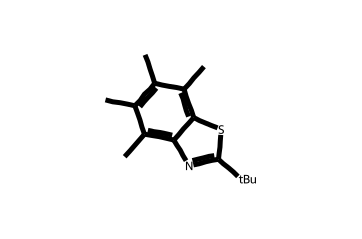 Cc1c(C)c(C)c2sc(C(C)(C)C)nc2c1C